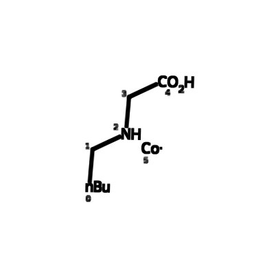 CCCCCNCC(=O)O.[Co]